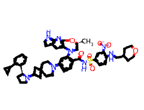 C[C@@H]1CN(c2cc(N3CCC4(CC3)CC(N3CCC[C@H]3c3ccccc3C3CC3)C4)ccc2C(=O)NS(=O)(=O)c2ccc(NCC3CCOCC3)c([N+](=O)[O-])c2)c2cc3cc[nH]c3nc2O1